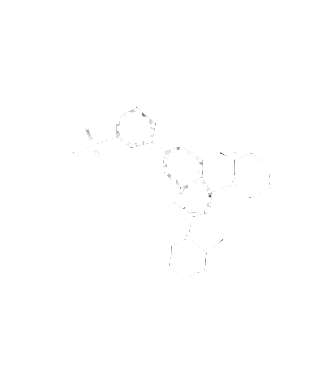 C[C@H]1COCCN1c1nc(N2CCOC[C@@H]2C)c2ccc(-c3cccc(S(N)(=O)=O)c3)nc2n1